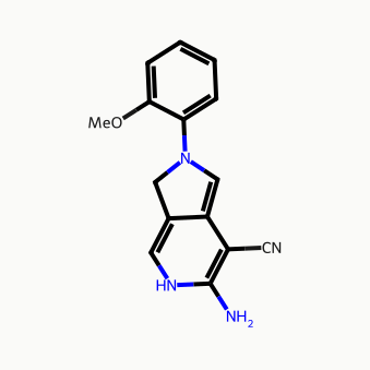 COc1ccccc1N1C=C2C(=CNC(N)=C2C#N)C1